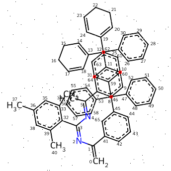 C=C(/N=C(\N=C(/C)c1cccc(C(C2=CCCC=C2)(C2=CCCC=C2)c2ccccc2)c1)c1c(C)cc(C)cc1C)c1cccc(C(c2ccccc2)(c2ccccc2)c2ccccc2)c1